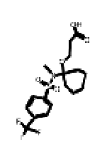 CN(C1(OCCC(=O)O)CCCCC1)S(=O)(=O)c1ccc(C(F)(F)F)cc1